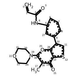 C=CC(=O)Nc1cccc(-c2csc3c(=O)c(C)c(N4CCOCC4)oc23)c1